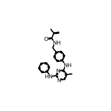 C=C(C)C(=O)NCc1ccc(Nc2nc(Nc3ccccc3)ncc2C)cc1